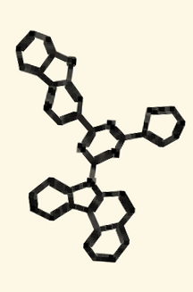 c1ccc(-c2nc(-c3ccc4c(c3)oc3ccccc34)nc(-n3c4ccccc4c4c5ccccc5ccc43)n2)cc1